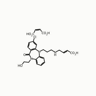 O=C(O)/C=C/CNCCCN1c2cc(Cl)ccc2C(=O)N(CCO)c2ccccc21.O=C(O)/C=C\C(=O)O